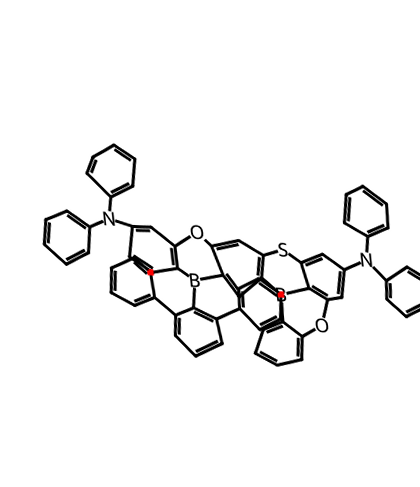 c1ccc(-c2cccc(-c3ccccc3)c2B2c3ccc(N(c4ccccc4)c4ccccc4)cc3Oc3cc4c(cc32)B2c3ccccc3Oc3cc(N(c5ccccc5)c5ccccc5)cc(c32)S4)cc1